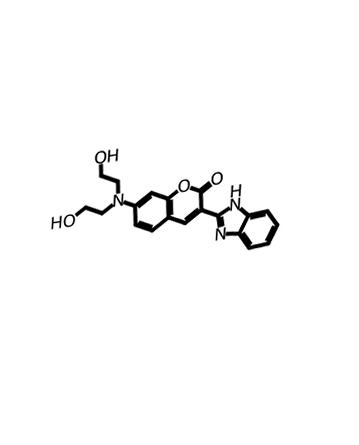 O=c1oc2cc(N(CCO)CCO)ccc2cc1-c1nc2ccccc2[nH]1